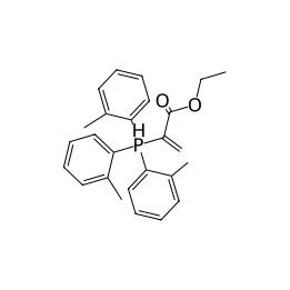 C=C(C(=O)OCC)[PH](c1ccccc1C)(c1ccccc1C)c1ccccc1C